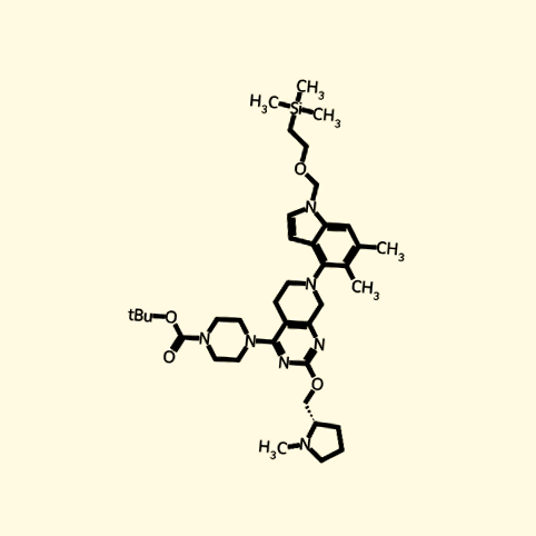 Cc1cc2c(ccn2COCC[Si](C)(C)C)c(N2CCc3c(nc(OC[C@@H]4CCCN4C)nc3N3CCN(C(=O)OC(C)(C)C)CC3)C2)c1C